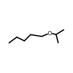 CCCC[CH]OC(C)C